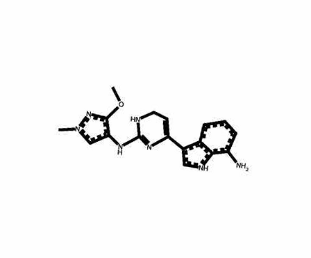 COc1nn(C)cc1NC1=NC(c2c[nH]c3c(N)cccc23)=CCN1